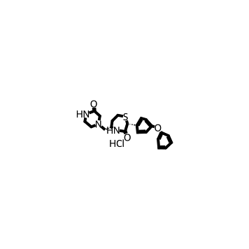 Cl.O=C1CN(C[C@@H]2CCS[C@H](c3ccc(Oc4ccccc4)cc3)C(=O)N2)CCN1